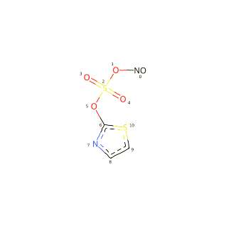 O=NOS(=O)(=O)Oc1nccs1